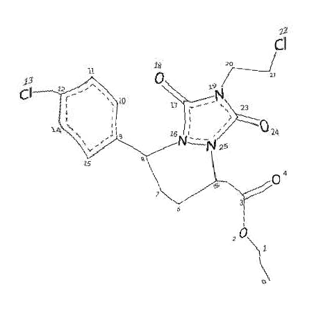 CCOC(=O)C1CCC(c2ccc(Cl)cc2)n2c(=O)n(CCCl)c(=O)n21